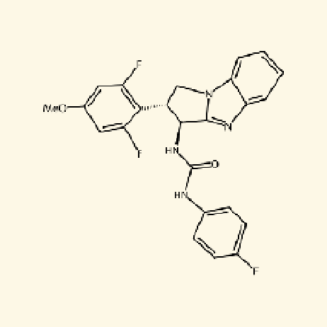 COc1cc(F)c([C@@H]2Cn3c(nc4ccccc43)[C@H]2NC(=O)Nc2ccc(F)cc2)c(F)c1